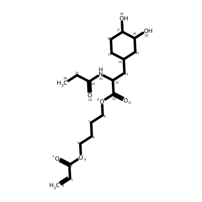 C=CC(=O)OCCCCOC(=O)C(CC1CCC(O)C(O)C1)NC(=O)CC